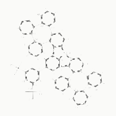 CC(C)(C)c1cc(-c2cc3c4c5c(ccc4n4c6ccc7c(c6c(c2)c34)-c2ccccc2-c2ccccc2-c2ccccc2-7)-c2ccccc2-c2ccccc2-c2ccccc2-5)cc(C(C)(C)C)c1